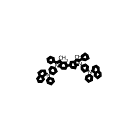 Cc1c(-c2ccccc2)n(-c2ccc(N(c3ccccc3)c3cccc4ccccc34)cc2)c2ccc(-c3ccc4c(c3)c(C)c(-c3ccccc3)n4-c3ccc(N(c4ccccc4)c4cccc5ccccc45)cc3)cc12